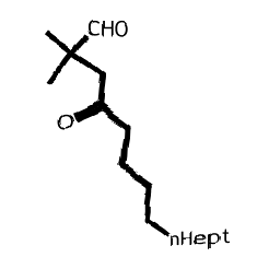 CCCCCCCCCCCC(=O)CC(C)(C)C=O